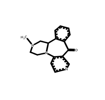 CN1CCN2c3ccncc3C(=O)c3ccccc3C2C1